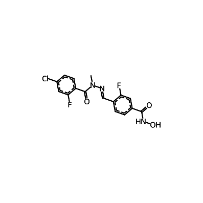 CN(/N=C/c1ccc(C(=O)NO)cc1F)C(=O)c1ccc(Cl)cc1F